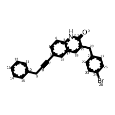 O=c1[nH]c2ccc(C#CCc3ccccc3)cc2cc1Cc1ccc(Br)cc1